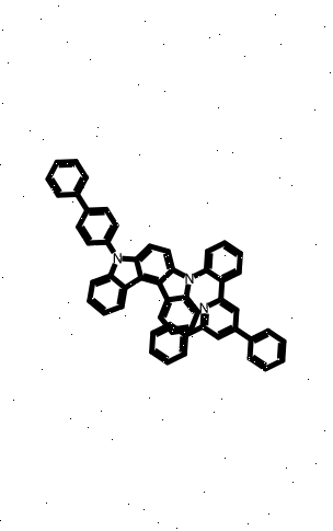 c1ccc(-c2ccc(-n3c4ccccc4c4c5c6ccccc6n(-c6ccccc6-c6cc(-c7ccccc7)cc(-c7ccccc7)n6)c5ccc43)cc2)cc1